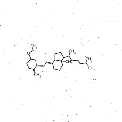 C=C1CCC(OCC)C/C1=C\C=C1/CCCC2(C)C1CCC2C(C)CCCC(C)C